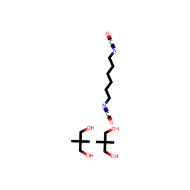 CC(C)(CO)CO.CC(C)(CO)CO.O=C=NCCCCCCN=C=O